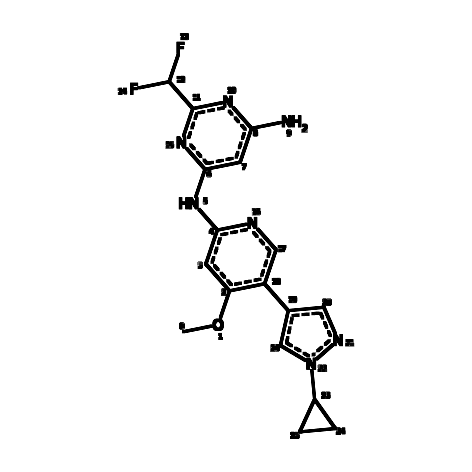 COc1cc(Nc2cc(N)nc(C(F)F)n2)ncc1-c1cnn(C2CC2)c1